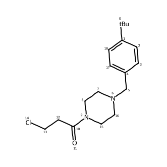 CC(C)(C)c1ccc(CN2CCN(C(=O)CCCl)CC2)cc1